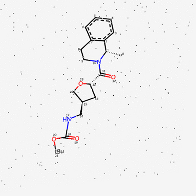 C[C@H]1c2ccccc2CCN1C(=O)[C@@H]1C[C@@H](CNC(=O)OC(C)(C)C)CO1